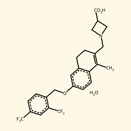 CC1=C(CN2CC(C(=O)O)C2)CCc2cc(OCc3ccc(C(F)(F)F)cc3C(F)(F)F)ccc21.O